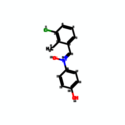 Cc1c(Cl)cccc1C=[N+]([O-])c1ccc(O)cc1